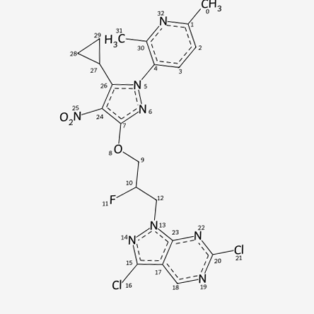 Cc1ccc(-n2nc(OCC(F)Cn3nc(Cl)c4cnc(Cl)nc43)c([N+](=O)[O-])c2C2CC2)c(C)n1